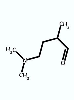 CC(C=O)CCN(C)C